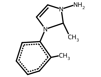 Cc1ccccc1N1C=CN(N)C1C